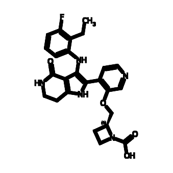 CCc1c(F)cccc1Nc1c(-c2ccncc2OC[C@@H]2CCN2C(=O)O)[nH]c2c1C(=O)NCC2